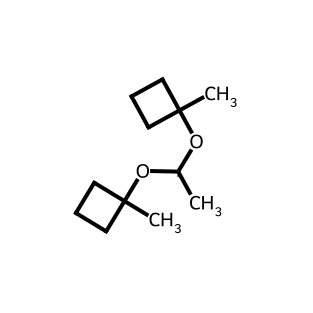 C[C](OC1(C)CCC1)OC1(C)CCC1